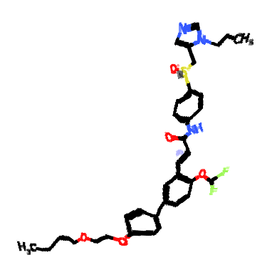 CCCCOCCOc1ccc(-c2ccc(OC(F)F)c(/C=C/C(=O)Nc3ccc([S@+]([O-])Cc4cncn4CCC)cc3)c2)cc1